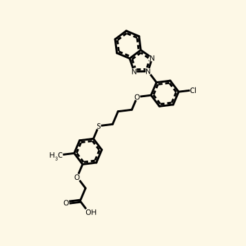 Cc1cc(SCCCOc2ccc(Cl)cc2-n2nc3ccccc3n2)ccc1OCC(=O)O